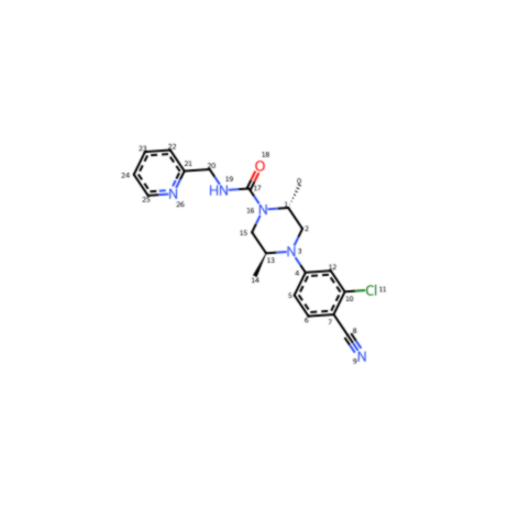 C[C@@H]1CN(c2ccc(C#N)c(Cl)c2)[C@@H](C)CN1C(=O)NCc1ccccn1